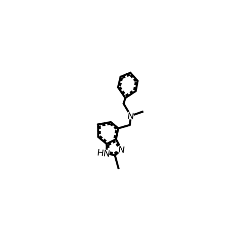 Cc1nc2c(CN(C)Cc3ccccc3)cccc2[nH]1